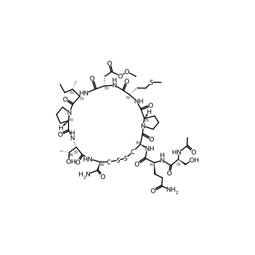 CC[C@H](C)[C@@H]1NC(=O)[C@H](CC(=O)OOC)NC(=O)[C@H](CCSC)NC(=O)[C@@H]2CCCN2C(=O)[C@@H](NC(=O)[C@H](CCC(N)=O)NC(=O)[C@H](CO)NC(C)=O)CSSC[C@@H](C(N)=O)NC(=O)[C@H]([C@@H](C)O)NC(=O)[C@@H]2CCCN2C1=O